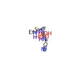 CCNc1nc([C@H]2C[C@@H](C)CN2C(=O)[C@H](O)[C@@H](O)C(=O)N[C@H](C)c2ccc(-n3cccn3)cc2)cs1